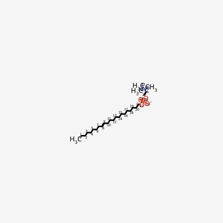 CCCCCCCCC=CCCCCCCCCCCCCOP(=O)([O-])OCC[N+](C)(C)C